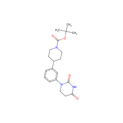 CC(C)(C)OC(=O)N1CCC(c2cccc(N3CCC(=O)NC3=O)c2)CC1